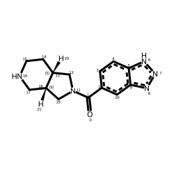 O=C(c1ccc2[nH]nnc2c1)N1C[C@H]2CCNC[C@H]2C1